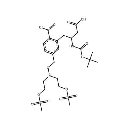 CC(C)(C)OC(=O)NC(CC(=O)O)Cc1cc(CON(CCOS(C)(=O)=O)CCOS(C)(=O)=O)ccc1[N+](=O)[O-]